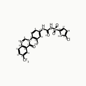 O=C(Nc1ccc(-n2cnc3ccc(C(F)(F)F)cc3c2=O)c(F)c1)NS(=O)(=O)c1ccc(Cl)s1